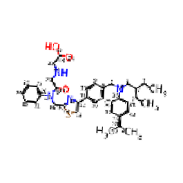 CCC(CC)CN(Cc1ccc(-c2csc(CN(C(=O)CNCC(=O)O)c3ccccc3)n2)cc1)c1ccc(C(C)C)cc1